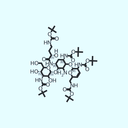 CC(C)(C)OC(=O)NCC[C@H](O)C(=O)N[C@@H]1C[C@@H](NC(=O)OC(C)(C)C)C(O[C@H]2OC(CNC(=O)OC(C)(C)C)C=CC2NC(=O)OC(C)(C)C)C(N)[C@H]1O[C@H]1OC(CO)[C@@H](O)[C@H](NC(=O)OC(C)(C)C)C1O